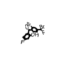 O=C(c1ccc(F)cc1O)c1ccc(C(F)Br)cc1Br